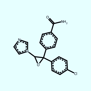 NC(=O)c1ccc(C2(c3ccc(Cl)cc3)OC2n2ccnc2)cc1